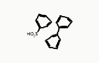 O=S(=O)(O)c1ccccc1.c1ccc(-c2ccccc2)cc1